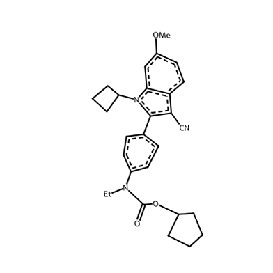 CCN(C(=O)OC1CCCC1)c1ccc(-c2c(C#N)c3ccc(OC)cc3n2C2CCC2)cc1